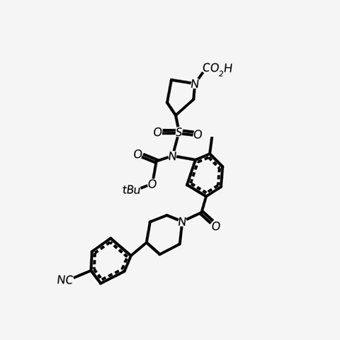 Cc1ccc(C(=O)N2CCC(c3ccc(C#N)cc3)CC2)cc1N(C(=O)OC(C)(C)C)S(=O)(=O)C1CCN(C(=O)O)C1